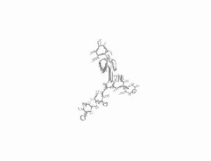 Cc1ccc(S(=O)(=O)n2cc(-c3ccn(Cc4cncc(Cl)c4)c(=O)c3)c3cc(N4CCOCC4)cnc32)cc1